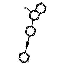 Brc1cc(-c2ccc(C#Cc3cccnc3)cc2)cc2ccncc12